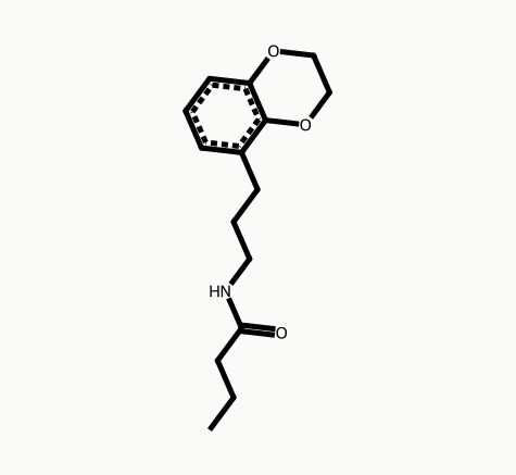 CCCC(=O)NCCCc1cccc2c1OCCO2